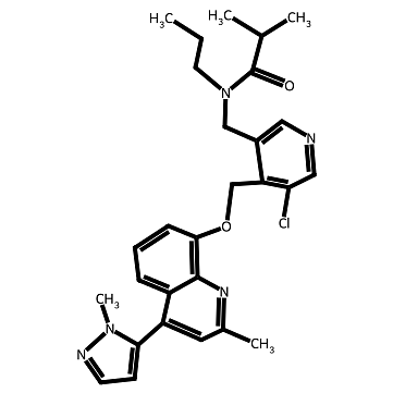 CCCN(Cc1cncc(Cl)c1COc1cccc2c(-c3ccnn3C)cc(C)nc12)C(=O)C(C)C